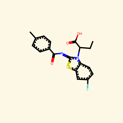 CCC(C(=O)O)n1/c(=N/C(=O)c2ccc(C)cc2)sc2cc(F)ccc21